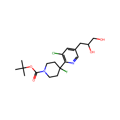 CC(C)(C)OC(=O)N1CCC(F)(c2ncc(CC(O)CO)cc2Cl)CC1